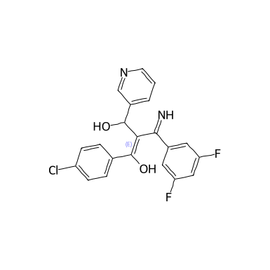 N=C(/C(=C(\O)c1ccc(Cl)cc1)C(O)c1cccnc1)c1cc(F)cc(F)c1